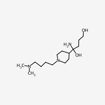 CN(C)CCCCN1CCC(C(N)(O)CCCO)CC1